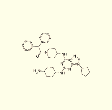 N[C@H]1CC[C@H](Nc2nc(NC3CCN(C(=O)C(c4ccccc4)c4ccccc4)CC3)c3ncn(C4CCCC4)c3n2)CC1